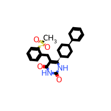 CS(=O)(=O)c1ccccc1Cc1c(=O)[nH]c(=O)[nH]c1[C@H]1CC[C@H](C2C=CC=CC2)CC1